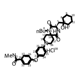 CCCCN1C(=O)[C@@H](CC2(O)CCCCC2)NC(=O)C12CCN(c1ccc(Oc3ccc(C(=O)NC)cc3)cc1)CC2.Cl